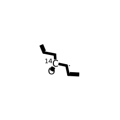 C=C[CH][14C](=O)CC=C